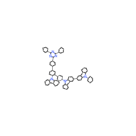 C1=CC(n2c3ccccc3c3cc(-c4ccc5c(c4)c4ccccc4n5-c4ccccc4)ccc32)CC=C1c1cc(-c2ccc(-c3nc(-c4ccccc4)nc(-c4ccccc4)n3)cc2)ccc1-n1c2ccccc2c2ccccc21